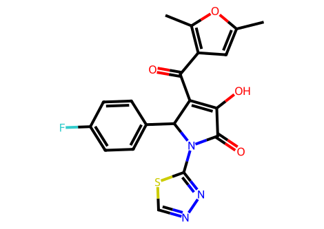 Cc1cc(C(=O)C2=C(O)C(=O)N(c3nncs3)C2c2ccc(F)cc2)c(C)o1